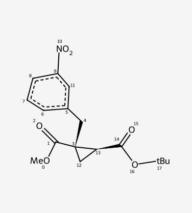 COC(=O)[C@@]1(Cc2cccc([N+](=O)[O-])c2)C[C@@H]1C(=O)OC(C)(C)C